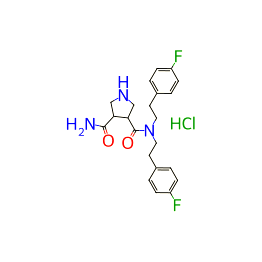 Cl.NC(=O)C1CNCC1C(=O)N(CCc1ccc(F)cc1)CCc1ccc(F)cc1